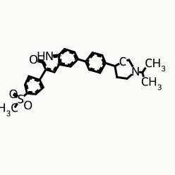 CC(C)N1CCC(c2ccc(-c3ccc4[nH]c(=O)c(-c5ccc(S(C)(=O)=O)cc5)cc4c3)cc2)CC1